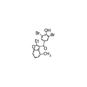 CCc1oc2cccc(C)c2c1C(=O)c1cc(Br)c(O)c(Br)c1